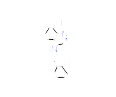 Clc1ccccc1CCNc1ccnc2c(Cl)cccc12